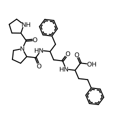 O=C(CC(Cc1ccccc1)NC(=O)C1CCCN1C(=O)C1CCCN1)NC(CCc1ccccc1)C(=O)O